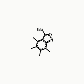 Cc1c(C)c(C)c2c(C(C)(C)C)onc2c1C